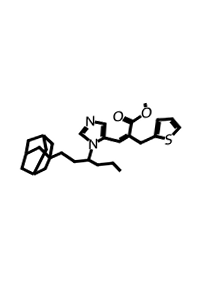 CCCC(CCC12CC3CC(CC(C3)C1)C2)n1cncc1C=C(Cc1cccs1)C(=O)OC